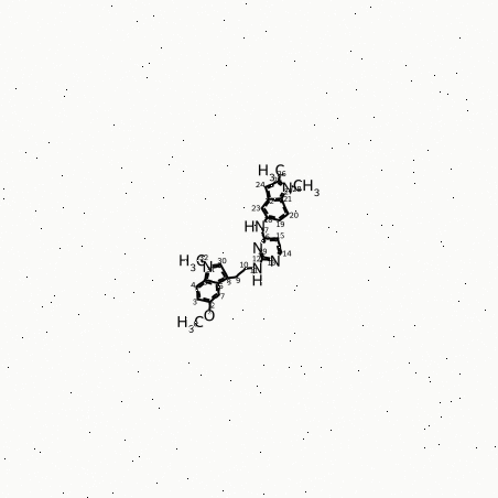 COc1ccc2c(c1)c(CCNc1nccc(Nc3ccc4c(c3)cc(C)n4C)n1)cn2C